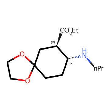 CCCN[C@@H]1CCC2(C[C@H]1C(=O)OCC)OCCO2